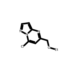 CCOCc1cc(Cl)n2nccc2n1